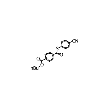 CCCCOC(=O)c1ccc(C(=O)Sc2ccc(C#N)cc2)cc1